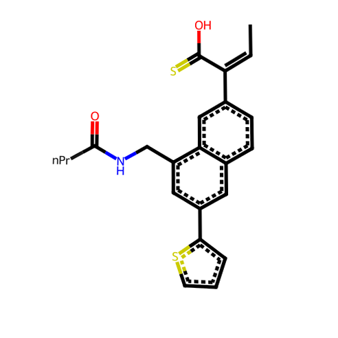 CC=C(C(O)=S)c1ccc2cc(-c3cccs3)cc(CNC(=O)CCC)c2c1